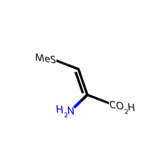 CS/C=C(\N)C(=O)O